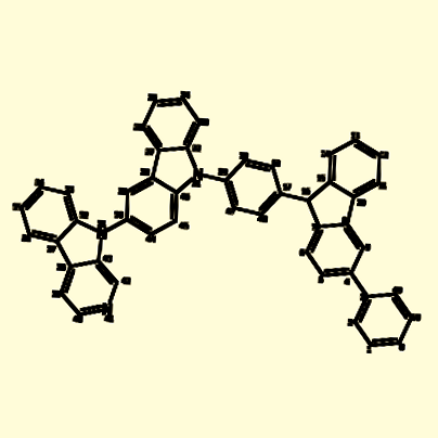 c1ccc(-c2ccc3c(c2)-c2ccccc2C3c2ccc(-n3c4ccccc4c4cc(-n5c6ccccc6c6ccncc65)ccc43)cc2)cc1